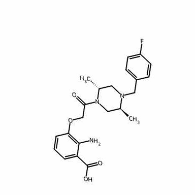 C[C@@H]1CN(Cc2ccc(F)cc2)[C@@H](C)CN1C(=O)COc1cccc(C(=O)O)c1N